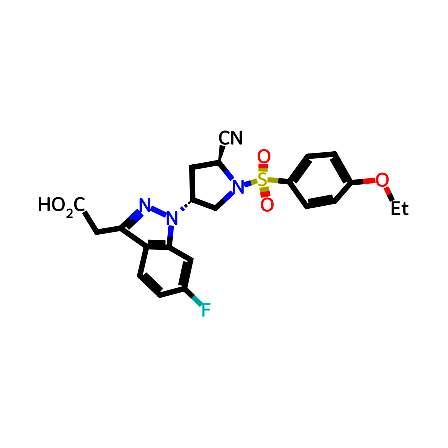 CCOc1ccc(S(=O)(=O)N2C[C@H](n3nc(CC(=O)O)c4ccc(F)cc43)C[C@H]2C#N)cc1